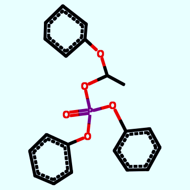 CC(Oc1ccccc1)OP(=O)(Oc1ccccc1)Oc1ccccc1